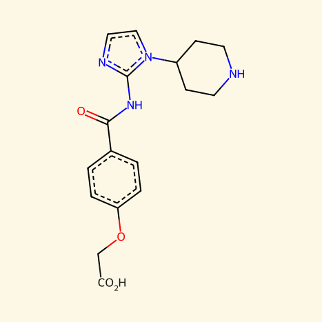 O=C(O)COc1ccc(C(=O)Nc2nccn2C2CCNCC2)cc1